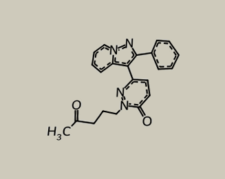 CC(=O)CCCn1nc(-c2c(-c3ccccc3)nn3ccccc23)ccc1=O